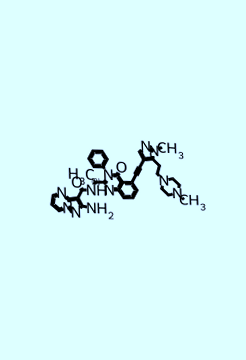 C[C@@H](NC(=O)c1c(N)nn2cccnc12)c1nc2cccc(C#Cc3cnn(C)c3CCN3CCN(C)CC3)c2c(=O)n1-c1ccccc1